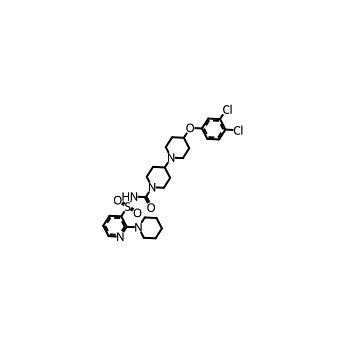 O=C(NS(=O)(=O)c1cccnc1N1CCCCC1)N1CCC(N2CCC(Oc3ccc(Cl)c(Cl)c3)CC2)CC1